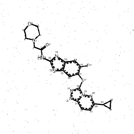 O=C(CN1CCOCC1)Nc1nc2cc(F)c(Sc3nnc4ccc(C5CC5)nn34)cc2s1